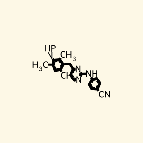 Cc1cc(C)c(N=P)c(C)c1Cc1ccnc(Nc2ccc(C#N)cc2)n1